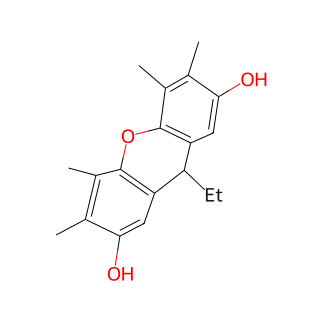 CCC1c2cc(O)c(C)c(C)c2Oc2c1cc(O)c(C)c2C